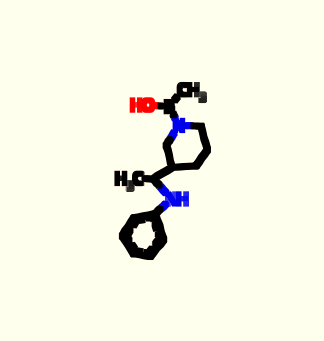 CB(O)N1CCCC(C(C)Nc2ccccc2)C1